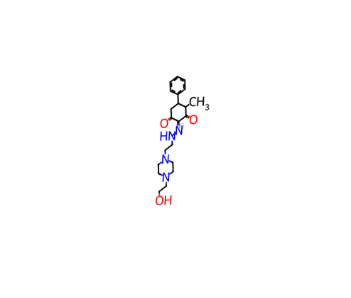 CC1C(=O)/C(=N/NCCN2CCN(CCO)CC2)C(=O)CC1c1ccccc1